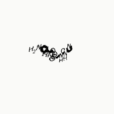 Nc1ccc(C(=O)NS(=O)(=O)CCNC(=O)Nc2cccnc2)cc1